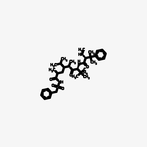 CN[C@H](C(=O)N[C@H](C(=O)N(C)C(CC(C)C(=O)NS(=O)(=O)Cc1ccccc1)C(C)C)C(C)(C)C)C(C)(C)c1ccccc1